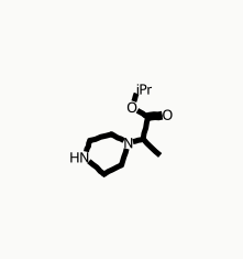 CC(C)OC(=O)C(C)N1CCNCC1